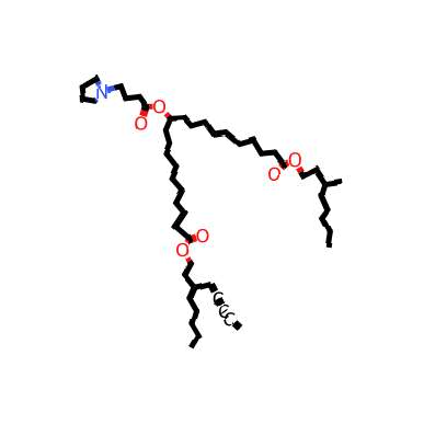 C=C=C=C=CC(CCCCC)CCOC(=O)CCCCCCCCCC(CCCCCCCCCC(=O)OCCC(C)CCCCC)OC(=O)CCCN1CCCC1